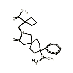 CN(C)[C@]1(c2ccccc2)CC[C@@]2(CC1)CC(=O)N(CC1(C(N)=O)CCC1)C2